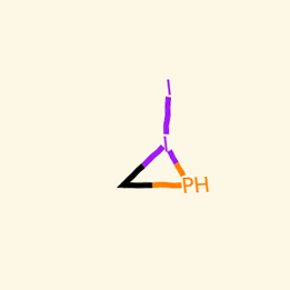 II1CP1